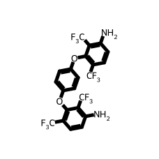 Nc1ccc(C(F)(F)F)c(Oc2ccc(Oc3c(C(F)(F)F)ccc(N)c3C(F)(F)F)cc2)c1C(F)(F)F